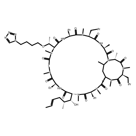 C/C=C/C[C@@H](C)[C@@H](O)[C@@H]1C(=O)N[C@@H](CC)C(=O)N(C)CC(=O)N(C)[C@@H]([C@@H](C)OCCCCn2cnnn2)C(=O)N[C@@H](C(C)C)C(=O)N(C)[C@@H](CC(C)C)C(=O)N[C@@H](C)C(=O)N2C(C)C[C@@H](C(=O)N(C)[C@@H](C(C)C)C(=O)N1C)N(C)C(=O)[C@H](CC(C)C)N(C)C(=O)[C@H]2C